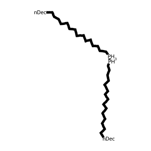 CCCCCCCCCCCCCCCCCCCCCCCCCP[PH3]CCCCCCCCCCCCCCCCCCCCCCCCC